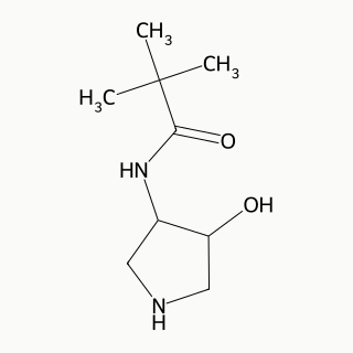 CC(C)(C)C(=O)NC1CNCC1O